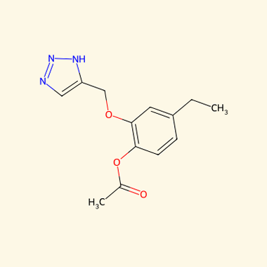 CCc1ccc(OC(C)=O)c(OCc2cnn[nH]2)c1